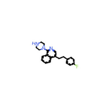 Fc1ccc(CCc2cnc(N3CCNCC3)c3ccccc23)cc1